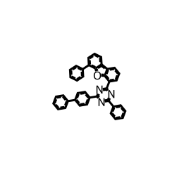 c1ccc(-c2ccc(-c3nc(-c4ccccc4)nc(-c4cccc5c4oc4c(-c6ccccc6)cccc45)n3)cc2)cc1